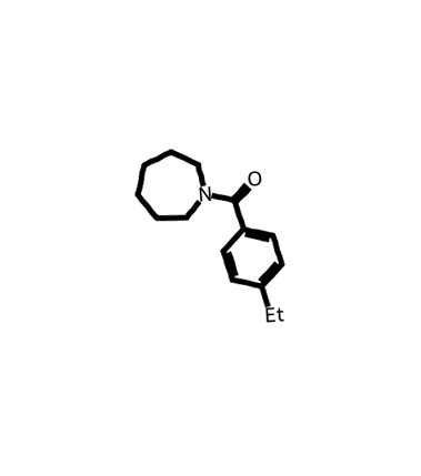 CCc1ccc(C(=O)N2CCCCCC2)cc1